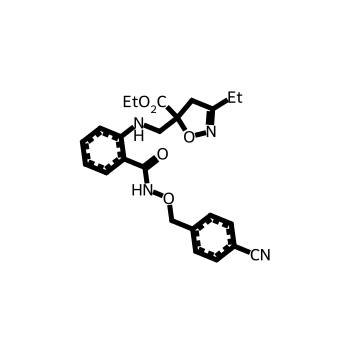 CCOC(=O)C1(CNc2ccccc2C(=O)NOCc2ccc(C#N)cc2)CC(CC)=NO1